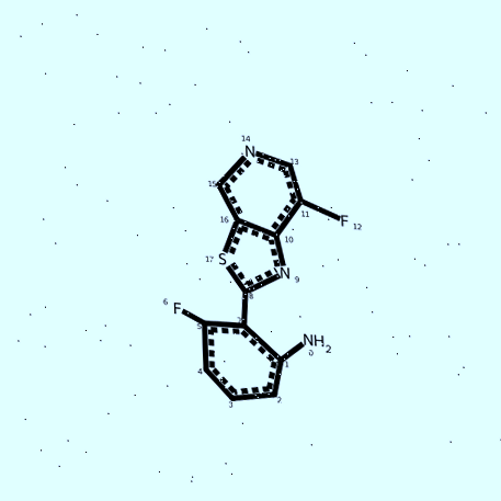 Nc1cccc(F)c1-c1nc2c(F)cncc2s1